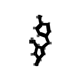 O=C1C=C(Sc2ccc(Br)cc2)C(O)O1